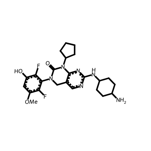 COc1cc(O)c(F)c(N2Cc3cnc(NC4CCC(N)CC4)nc3N(C3CCCC3)C2=O)c1F